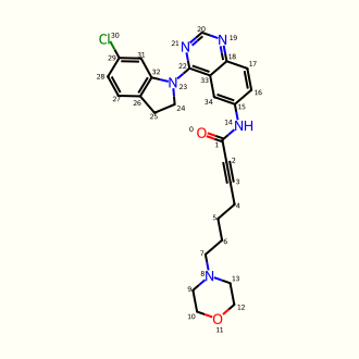 O=C(C#CCCCCN1CCOCC1)Nc1ccc2ncnc(N3CCc4ccc(Cl)cc43)c2c1